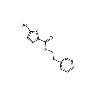 CC(=O)c1ccc(C(=O)NCCc2ccccc2)s1